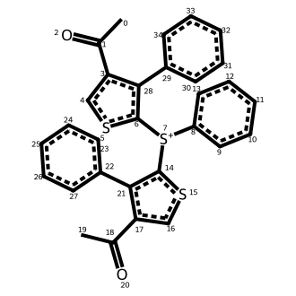 CC(=O)c1csc([S+](c2ccccc2)c2scc(C(C)=O)c2-c2ccccc2)c1-c1ccccc1